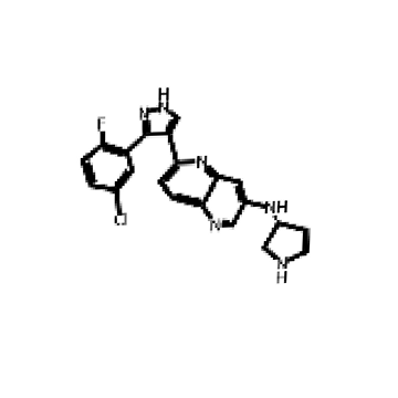 Fc1ccc(Cl)cc1-c1n[nH]cc1-c1ccc2ncc(N[C@@H]3CCNC3)cc2n1